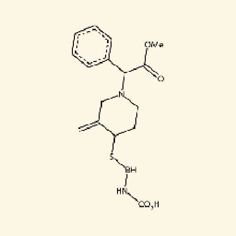 C=C1CN(C(C(=O)OC)c2ccccc2)CCC1SBNC(=O)O